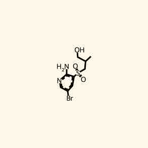 CC(CO)CS(=O)(=O)c1cc(Br)cnc1N